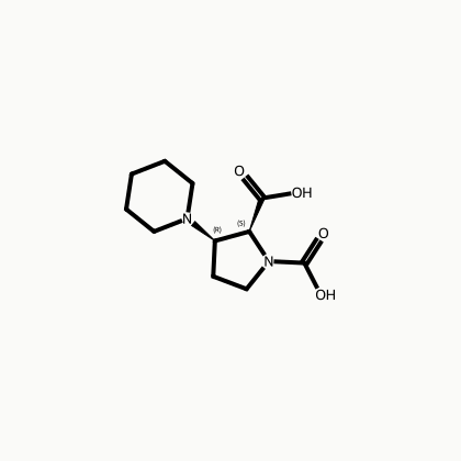 O=C(O)[C@@H]1[C@H](N2CCCCC2)CCN1C(=O)O